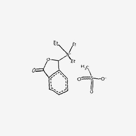 CC[N+](CC)(CC)C1OC(=O)c2ccccc21.CS(=O)(=O)[O-]